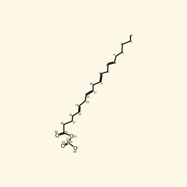 CCCCCC=CCC=CCC=CCC=CCCCC(=O)O[N+](=O)[O-]